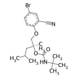 CC(C)C[C@@](C)(COc1ccc(Br)cc1C#N)OC(=O)NC(C)(C)C